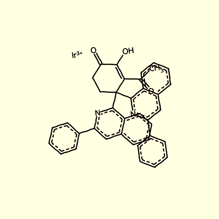 CC(=O)C1=C(O)C(=O)CCC1(c1nc(-c2ccccc2)cc2ccccc12)c1nc(-c2ccccc2)cc2ccccc12.[Ir+3]